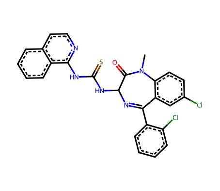 CN1C(=O)C(NC(=S)Nc2nccc3ccccc23)N=C(c2ccccc2Cl)c2cc(Cl)ccc21